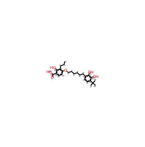 CCCc1c(OCCCCCCc2ccc(C(C)(C)C)c(O)c2O)ccc(C(=O)O)c1O